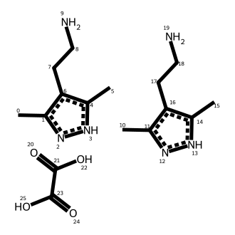 Cc1n[nH]c(C)c1CCN.Cc1n[nH]c(C)c1CCN.O=C(O)C(=O)O